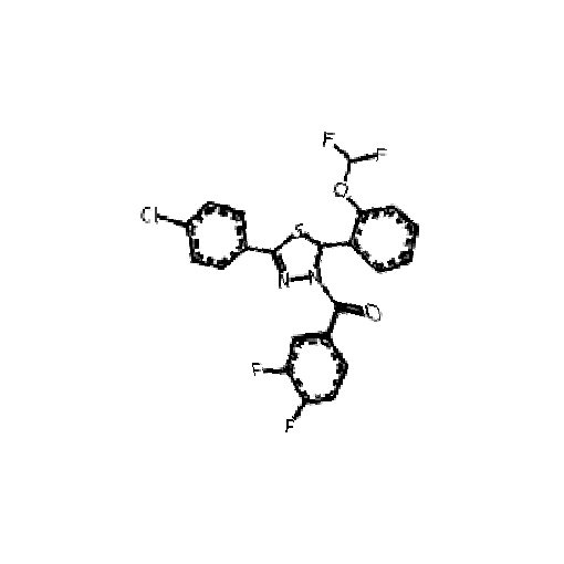 O=C(c1ccc(F)c(F)c1)N1N=C(c2ccc(Cl)cc2)SC1c1ccccc1OC(F)F